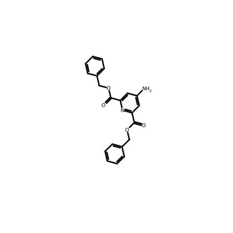 Nc1cc(C(=O)OCc2ccccc2)nc(C(=O)OCc2ccccc2)c1